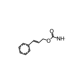 [NH]C(=O)OCC=Cc1ccccc1